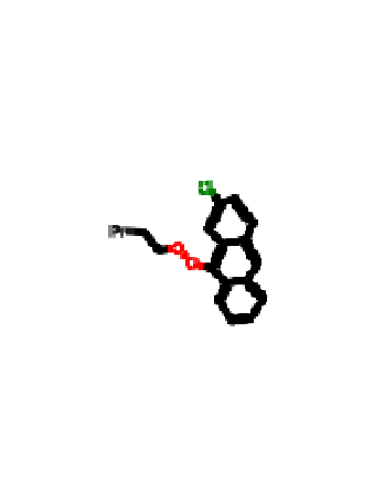 CC(C)CCOOc1c2ccccc2cc2ccc(Cl)cc12